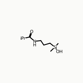 CC(C)C(=O)NCCC[Si](C)(C)O